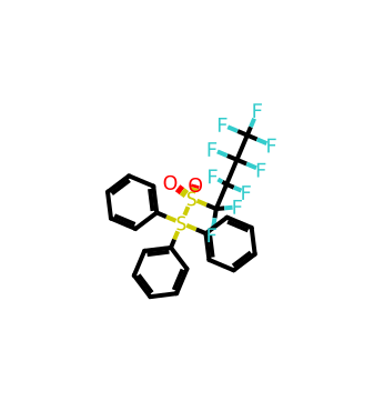 O=S(=O)(C(F)(F)C(F)(F)C(F)(F)C(F)(F)F)S(c1ccccc1)(c1ccccc1)c1ccccc1